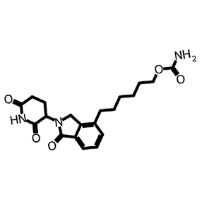 NC(=O)OCCCCCCc1cccc2c1CN(C1CCC(=O)NC1=O)C2=O